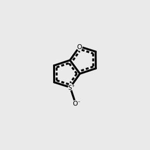 [O-][s+]1ccc2occc21